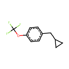 FC(F)(F)Oc1ccc([CH]C2CC2)cc1